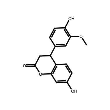 COc1cc(C2CC(=O)Oc3cc(O)ccc32)ccc1O